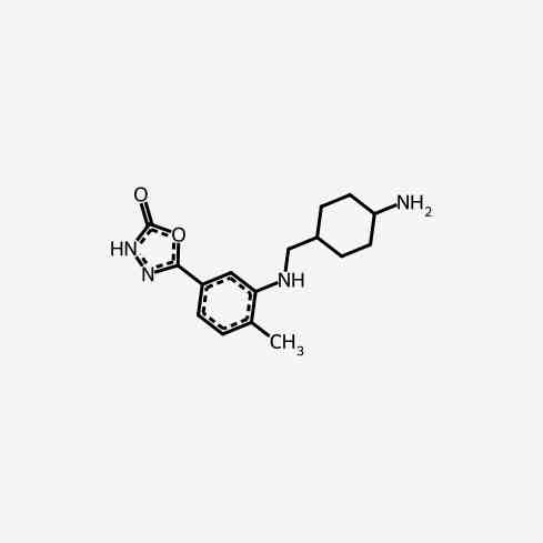 Cc1ccc(-c2n[nH]c(=O)o2)cc1NCC1CCC(N)CC1